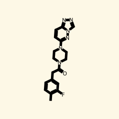 Cc1ccc(CC(=O)N2CCN(c3ccc4nncn4n3)CC2)cc1F